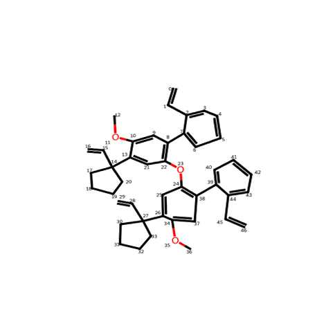 C=Cc1ccccc1-c1cc(OC)c(C2(C=C)CCCC2)cc1Oc1cc(C2(C=C)CCCC2)c(OC)cc1-c1ccccc1C=C